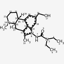 CCN(CC)C(=O)Nn1c(C)c2c3c(cc(CO)cc31)[C@H]1CCCN(C)[C@@H]1C2